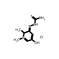 CC1C(=NNC(N)=S)C=C(O)C=[N+]1C.[Cl-]